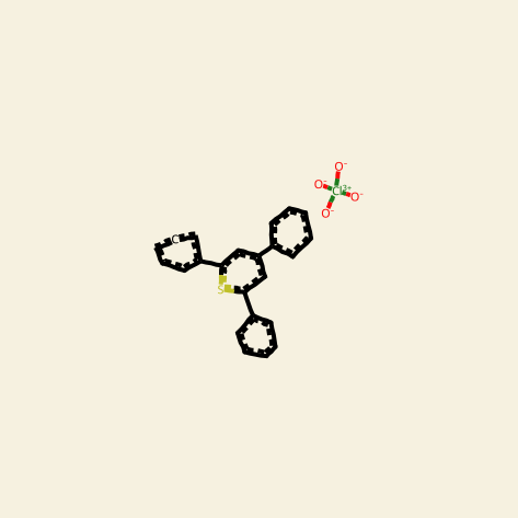 [O-][Cl+3]([O-])([O-])[O-].c1ccc(-c2cc(-c3ccccc3)[s+]c(-c3ccccc3)c2)cc1